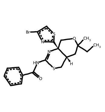 CCC1(C)C[C@@H]2CSC(NC(=O)c3ccccc3)=N[C@]2(c2nc(Br)cs2)CO1